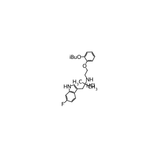 CC(C)COc1ccccc1OCCNC(C)(C)Cc1c[nH]c2cc(F)ccc12.Cl